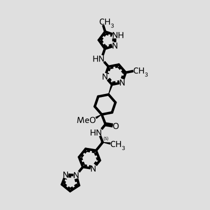 CO[C@]1(C(=O)N[C@@H](C)c2ccc(-n3cccn3)nc2)CC[C@H](c2nc(C)cc(Nc3cc(C)[nH]n3)n2)CC1